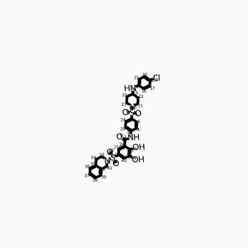 O=C(Nc1ccc(S(=O)(=O)N2CCC(Nc3ccc(Cl)cc3)CC2)cc1)c1cc(S(=O)(=O)N2CCc3ccccc3C2)cc(O)c1O